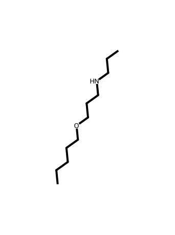 CCCCCOCCCNCCC